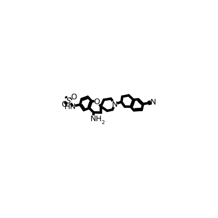 CS(=O)(=O)Nc1ccc2c(c1)C(N)CC1(CCN(C3CCc4cc(C#N)ccc4C3)CC1)O2